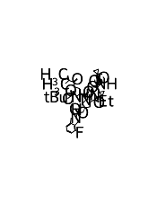 C/C=C(\C)C(=O)CC[C@H](NC(=O)OC(C)(C)C)C(=O)N1C[C@H](OC(=O)N2Cc3cccc(F)c3C2)CC1C(=O)N[C@]1(C(=O)NS(=O)(=O)C2CC2)CC1CC